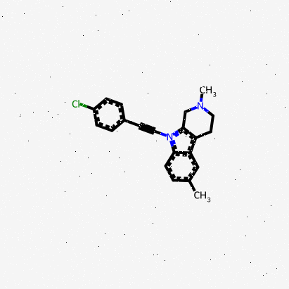 Cc1ccc2c(c1)c1c(n2C#Cc2ccc(Cl)cc2)CN(C)CC1